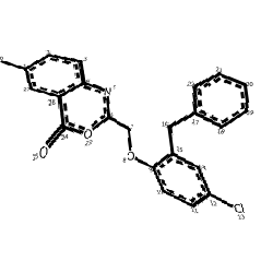 Cc1ccc2nc(COc3ccc(Cl)cc3Cc3ccccc3)oc(=O)c2c1